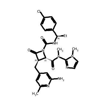 CC[C@@H](NC(=O)N1C(=O)[C@H](Cc2cc(C)nc(N)c2)[C@H]1C(=O)N(C)c1nccn1C)c1ccc(Cl)cc1